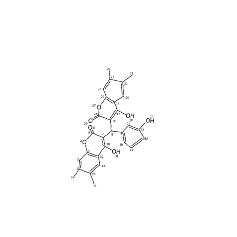 Cc1cc2oc(=O)c(C(c3cccc(O)c3)c3c(O)c4cc(C)c(C)cc4oc3=O)c(O)c2cc1C